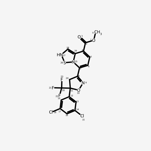 COC(=O)C1=CC=C(C2=NOC(c3cc(Cl)cc(Cl)c3)(C(F)(F)F)C2)N2SNC=C12